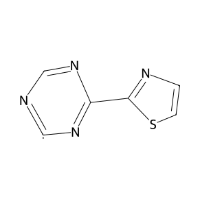 [c]1ncnc(-c2nccs2)n1